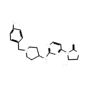 CC(C)[C@H]1COC(=O)N1c1ccnc(NC2CCN(Cc3ccc([N+](=O)[O-])cc3)CC2)n1